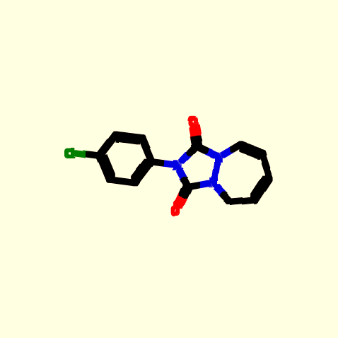 O=c1n(-c2ccc(Cl)cc2)c(=O)n2n1C=CC=CC2